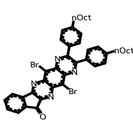 CCCCCCCCc1ccc(-c2nc3c(Br)c4nc5c(nc4c(Br)c3nc2-c2ccc(CCCCCCCC)cc2)-c2ccccc2C5=O)cc1